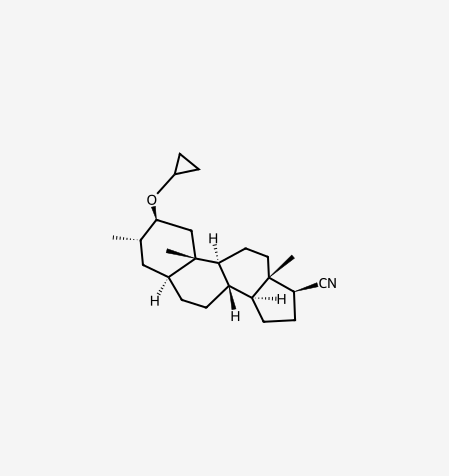 C[C@H]1C[C@@H]2CC[C@@H]3[C@H](CC[C@]4(C)[C@@H](C#N)CC[C@@H]34)[C@@]2(C)C[C@@H]1OC1CC1